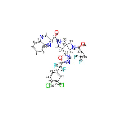 O=C(c1cnc2ccccc2n1)N1CC(c2nnc(C(F)(F)c3ccc(Cl)c(Cl)c3)o2)C2(C1)CN(C(=O)[C@H]1CC1(F)F)C2